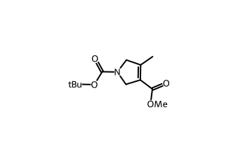 COC(=O)C1=C(C)CN(C(=O)OC(C)(C)C)C1